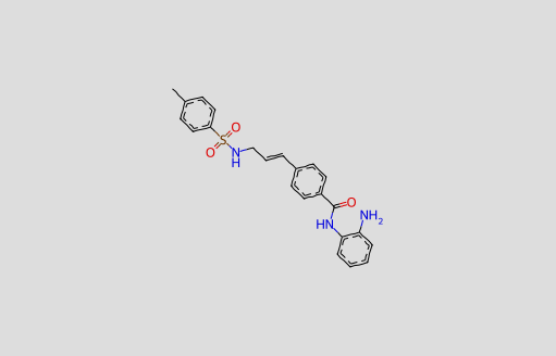 Cc1ccc(S(=O)(=O)NCC=Cc2ccc(C(=O)Nc3ccccc3N)cc2)cc1